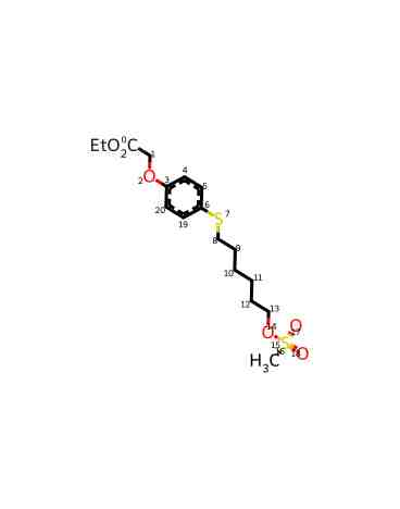 CCOC(=O)COc1ccc(SCCCCCCOS(C)(=O)=O)cc1